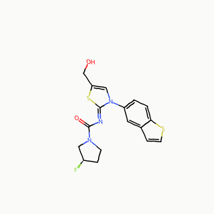 O=C(/N=c1\sc(CO)cn1-c1ccc2sccc2c1)N1CC[C@@H](F)C1